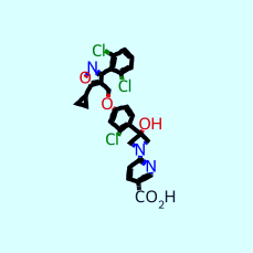 O=C(O)c1ccc(N2CC(O)(c3ccc(OCc4c(-c5c(Cl)cccc5Cl)noc4C4CC4)cc3Cl)C2)nc1